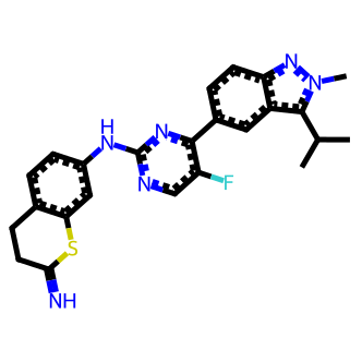 CC(C)c1c2cc(-c3nc(Nc4ccc5c(c4)SC(=N)CC5)ncc3F)ccc2nn1C